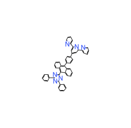 c1ccc(-c2nc(-c3ccccc3)nc(-c3c4ccccc4c(-c4ccc(-c5cc(-c6ccccn6)nc(-c6ccccn6)c5)cc4)c4ccccc34)n2)cc1